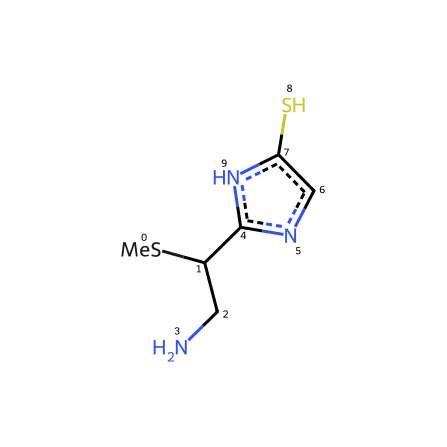 CSC(CN)c1ncc(S)[nH]1